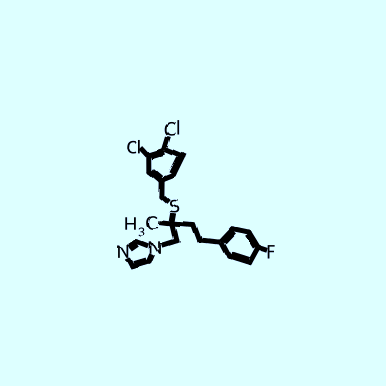 CC(CCc1ccc(F)cc1)(Cn1ccnc1)SCc1ccc(Cl)c(Cl)c1